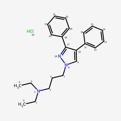 CCN(CC)CCCn1cc(-c2ccccc2)c(-c2ccccc2)n1.Cl